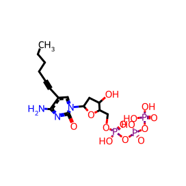 CCCCC#Cc1cn(C2CC(O)C(COP(=O)(O)OP(=O)(O)OP(=O)(O)O)O2)c(=O)nc1N